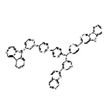 c1cc(-c2ccc3ccccc3c2)cc(N(c2ccc(-c3ccc(-c4cccc(-n5c6ccccc6c6ccccc65)c4)cc3)cc2)c2ccc(-c3ccc4c(c3)oc3ccccc34)cc2)c1